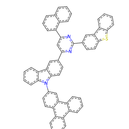 c1ccc2c(-c3cc(-c4ccc5c(c4)c4ccccc4n5-c4ccc5c6ccccc6c6ccccc6c5c4)nc(-c4ccc5sc6ccccc6c5c4)n3)cccc2c1